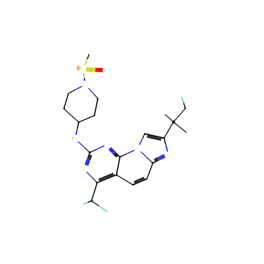 CC(C)(CF)c1cn2c(ccc3c(C(F)F)nc(NC4CCN(S(C)(=O)=O)CC4)nc32)n1